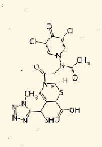 CC(=O)N(C1C(=O)N2C=C(C(S)c3nnnn3C)C(C(=O)O)S[C@H]12)n1cc(Cl)c(=O)c(Cl)c1